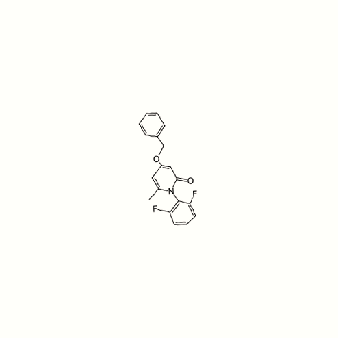 Cc1cc(OCc2ccccc2)cc(=O)n1-c1c(F)cccc1F